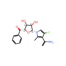 C=C(N)c1c(F)cn([C@@H]2O[C@H](C(=O)c3ccccc3)[C@@H](O)[C@H]2O)c1C